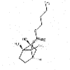 CCCCOC(=O)[C@]1(O)C[C@H]2CC[C@@]1(C)C2(C)C